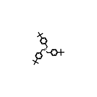 CC(C)(C)c1ccc(CP(Cc2ccc(C(C)(C)C)cc2)Cc2ccc(C(C)(C)C)cc2)cc1